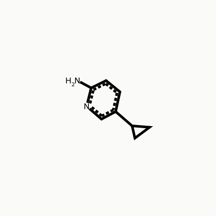 Nc1ccc(C2CC2)cn1